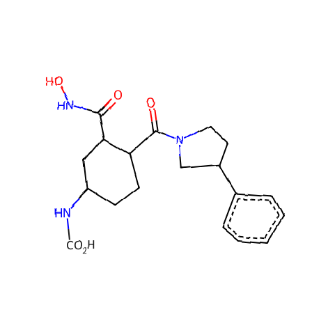 O=C(O)NC1CCC(C(=O)N2CCC(c3ccccc3)C2)C(C(=O)NO)C1